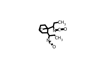 CCC(N=C=O)C1CC2CCC1(C(CC)N=C=O)CC2